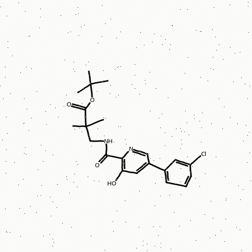 CC(C)(C)OC(=O)C(C)(C)CNC(=O)c1ncc(-c2cccc(Cl)c2)cc1O